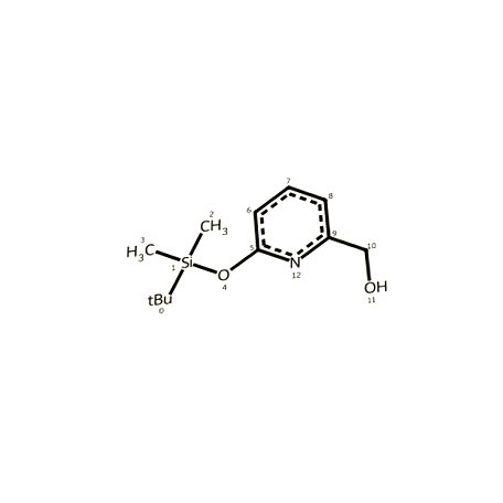 CC(C)(C)[Si](C)(C)Oc1cccc(CO)n1